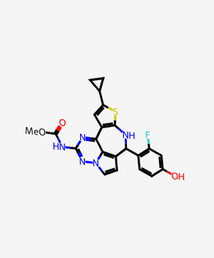 COC(=O)Nc1nc2c3c(ccn3n1)C(c1ccc(O)cc1F)Nc1sc(C3CC3)cc1-2